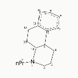 CCCN1CCCC2c3ccccc3CCC21